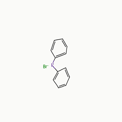 [Br-].c1ccc([I+]c2ccccc2)cc1